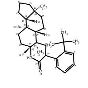 CC(C)(C)c1ccccc1C1C[C@@]2(C)[C@@H](CC[C@H]3[C@@H]4CCC[C@@]4(C)CC[C@@H]32)NC1=O